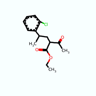 CCOC(=O)C(CC(C)c1ccccc1Cl)C(C)=O